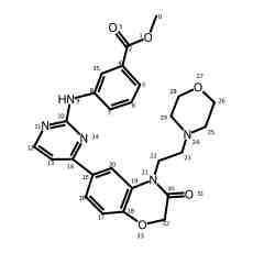 COC(=O)c1cccc(Nc2nccc(-c3ccc4c(c3)N(CCN3CCOCC3)C(=O)CO4)n2)c1